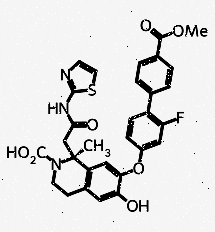 COC(=O)c1ccc(-c2ccc(Oc3cc4c(cc3O)CCN(C(=O)O)[C@]4(C)CC(=O)Nc3nccs3)cc2F)cc1